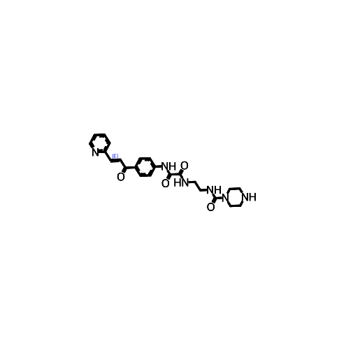 O=C(NCCNC(=O)N1CCNCC1)C(=O)Nc1ccc(C(=O)/C=C/c2ccccn2)cc1